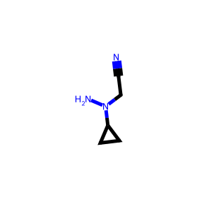 N#CCN(N)C1CC1